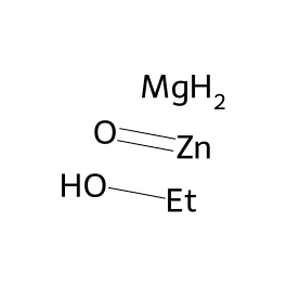 CCO.[MgH2].[O]=[Zn]